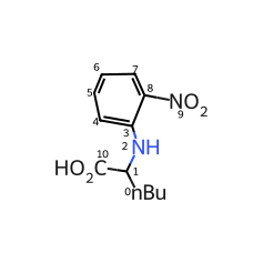 CCCCC(Nc1ccccc1[N+](=O)[O-])C(=O)O